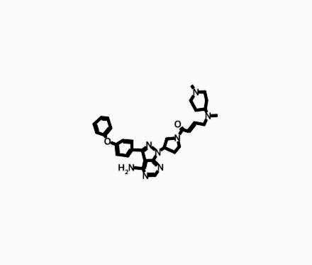 CN1CCC(N(C)CC=CC(=O)N2CCC(n3nc(-c4ccc(Oc5ccccc5)cc4)c4c(N)ncnc43)C2)CC1